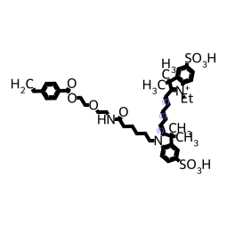 C=Cc1ccc(C(=O)OCCOCCNC(=O)CCCCCN2/C(=C/C=C/C=C/C3=[N+](CC)c4ccc(S(=O)(=O)O)cc4C3(C)C)C(C)(C)c3cc(S(=O)(=O)O)ccc32)cc1